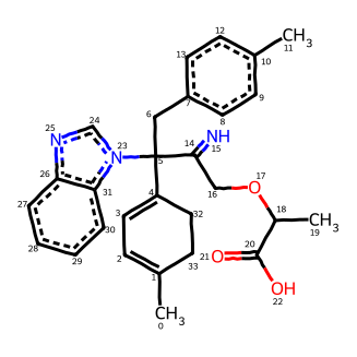 CC1=CC=C(C(Cc2ccc(C)cc2)(C(=N)COC(C)C(=O)O)n2cnc3ccccc32)CC1